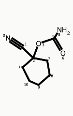 N#CC1(OC(N)=O)C[CH]CCC1